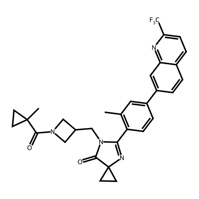 Cc1cc(-c2ccc3ccc(C(F)(F)F)nc3c2)ccc1C1=NC2(CC2)C(=O)N1CC1CN(C(=O)C2(C)CC2)C1